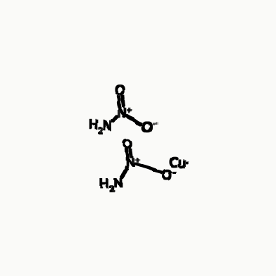 N[N+](=O)[O-].N[N+](=O)[O-].[Cu]